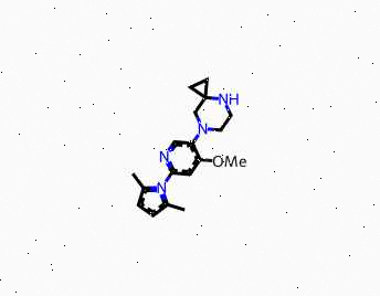 COc1cc(-n2c(C)ccc2C)ncc1N1CCNC2(CC2)C1